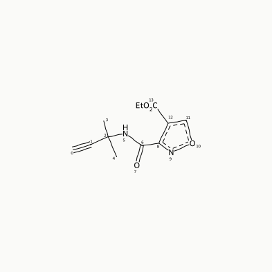 C#CC(C)(C)NC(=O)c1nocc1C(=O)OCC